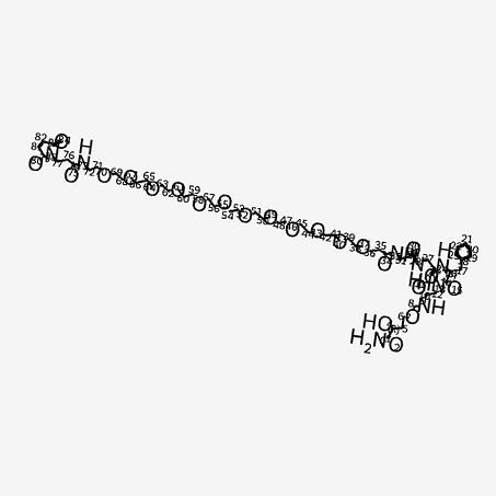 NC(=O)[C@H](O)CCOCNC(=O)CNC(=O)[C@H](Cc1ccccc1)NC(=O)CNC(=O)CNC(=O)CCOCCOCCOCCOCCOCCOCCOCCOCCOCCOCCOCCOCCNC(=O)CCN1C(=O)C=CC1=O